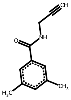 C#CCNC(=O)c1cc(C)cc(C)c1